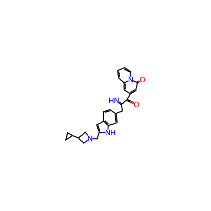 N=C(Cc1ccc2cc(CN3CC(C4CC4)C3)[nH]c2c1)C(=O)c1cc(=O)n2ccccc2c1